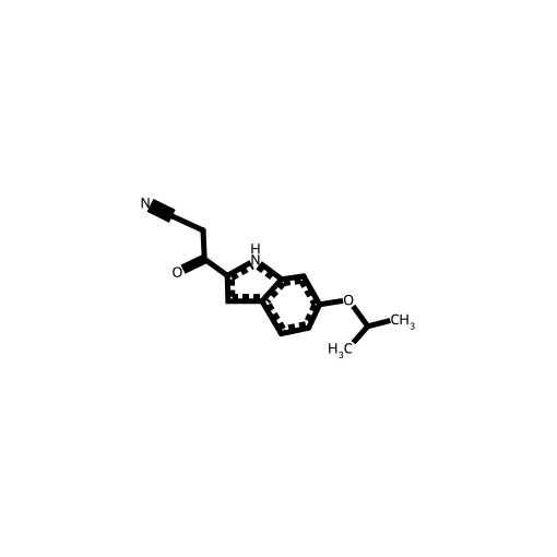 CC(C)Oc1ccc2cc(C(=O)CC#N)[nH]c2c1